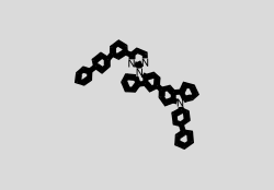 C1=CC(c2ccccc2)CC=C1n1c2ccccc2c2cc(-c3ccc4c(c3)c3ccccc3n4C3=NCCC(c4cccc(-c5ccc(-c6ccccc6)cc5)c4)=N3)ccc21